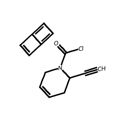 C#CC1CC=CCN1C(=O)Cl.c1cc2ccc1-2